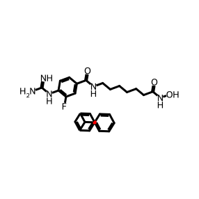 C1=CC2=CC(=C1)C2c1ccccc1.N=C(N)Nc1ccc(C(=O)NCCCCCCC(=O)NO)cc1F